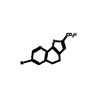 O=C(O)c1cc2c(s1)-c1ccc(Br)cc1CC2